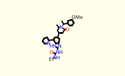 CCNC(=O)Nc1nc2cc(C3=CC(=O)N(C(C)c4cccc(OC)c4)C(C)C3)cc(-c3ccccn3)c2[nH]1